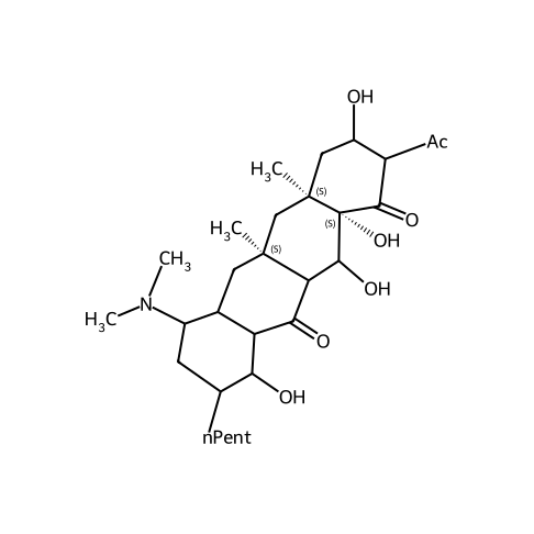 CCCCCC1CC(N(C)C)C2C[C@@]3(C)C[C@@]4(C)CC(O)C(C(C)=O)C(=O)[C@@]4(O)C(O)C3C(=O)C2C1O